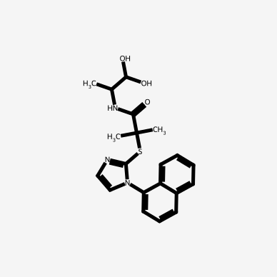 CC(NC(=O)C(C)(C)Sc1nccn1-c1cccc2ccccc12)C(O)O